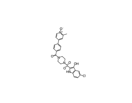 Cc1cc(-c2ccc(C(=O)N3CCN(S(=O)(=O)c4[nH]c5ccc(Cl)cc5c4O)CC3)cc2)cc[n+]1[O-]